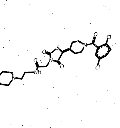 O=C(CN1C(=O)SC(=C2CCN(C(=O)c3cc(Cl)ccc3Cl)CC2)C1=O)NCCN1CCCCC1